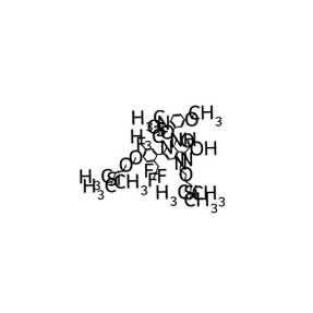 COc1ccc(N(C)S(C)(=O)=O)c(CNc2nc(-c3cc(F)c(OCOCC[Si](C)(C)C)cc3CC(F)(F)F)cc3c2c(C(=O)O)nn3COCC[Si](C)(C)C)c1